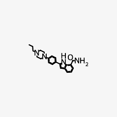 CCCN1CCN(c2ccc(-c3cc4cccc(C(N)=O)c4[nH]3)cc2)CC1